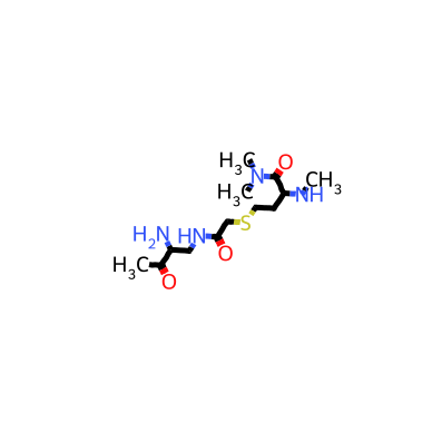 CNC(CCSCC(=O)NCC(N)C(C)=O)C(=O)N(C)C